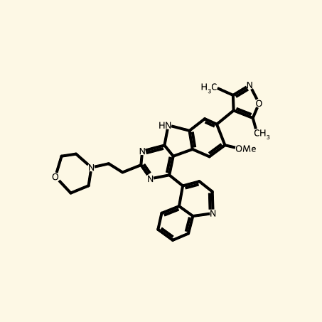 COc1cc2c(cc1-c1c(C)noc1C)[nH]c1nc(CCN3CCOCC3)nc(-c3ccnc4ccccc34)c12